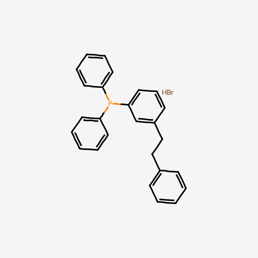 Br.c1ccc(CCc2cccc(P(c3ccccc3)c3ccccc3)c2)cc1